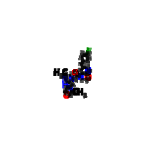 C[C@@H]1CN(CC(=O)N2CCOc3ncc(Cc4ccc(F)cc4)cc32)[C@@H](CN2CCOC[C@H]2C)CN1